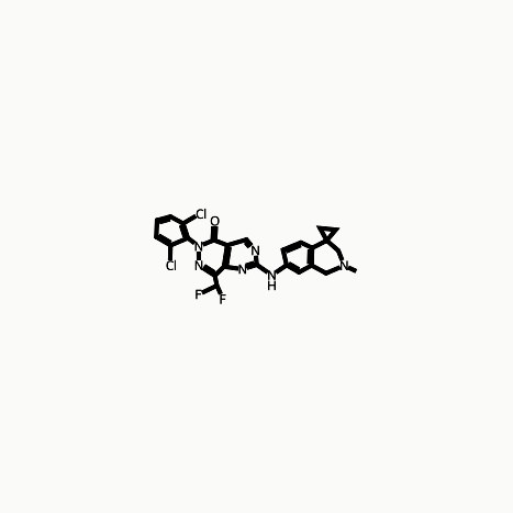 CN1Cc2cc(Nc3ncc4c(=O)n(-c5c(Cl)cccc5Cl)nc(C(F)F)c4n3)ccc2C2(CC2)C1